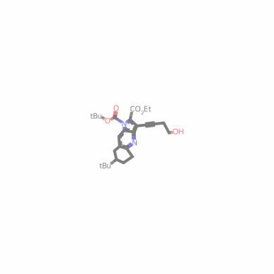 CCOC(=O)c1c(C#CCCO)c2nc3c(cc2n1C(=O)OC(C)(C)C)CC(C(C)(C)C)CC3